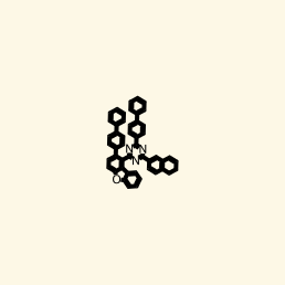 C1=Cc2cc(-c3nc(-c4ccc(-c5ccccc5)cc4)nc(-c4c(-c5ccc(-c6ccccc6)cc5)ccc5oc6ccccc6c45)n3)ccc2CC1